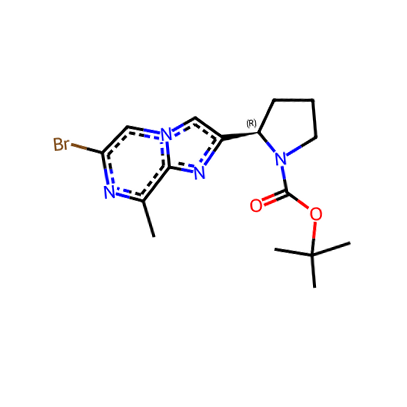 Cc1nc(Br)cn2cc([C@H]3CCCN3C(=O)OC(C)(C)C)nc12